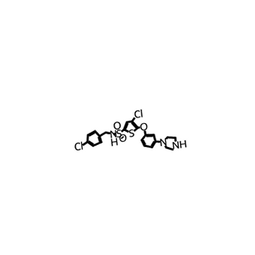 O=S(=O)(NCc1ccc(Cl)cc1)c1cc(Cl)c(Oc2cccc(N3CCNCC3)c2)s1